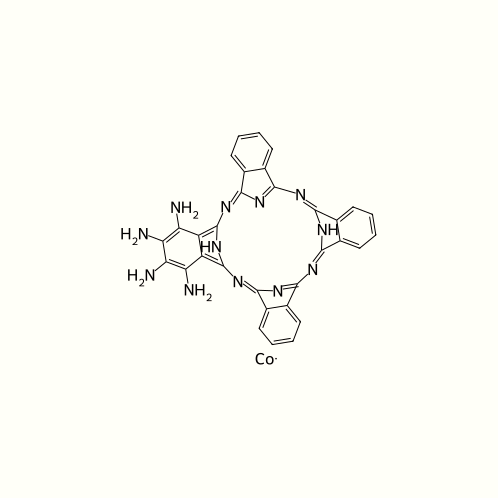 Nc1c(N)c(N)c2c3nc4nc(nc5[nH]c(nc6nc(nc([nH]3)c2c1N)-c1ccccc1-6)c1ccccc51)-c1ccccc1-4.[Co]